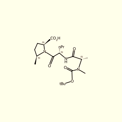 CCC[C@H](NC(=O)[C@H](C)N(C)C(=O)OC(C)(C)C)C(=O)N1[C@@H](C)CC[C@H]1C(=O)O